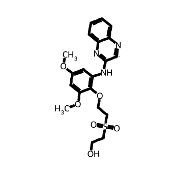 COc1cc(Nc2[c]nc3ccccc3n2)c(OCCS(=O)(=O)CCO)c(OC)c1